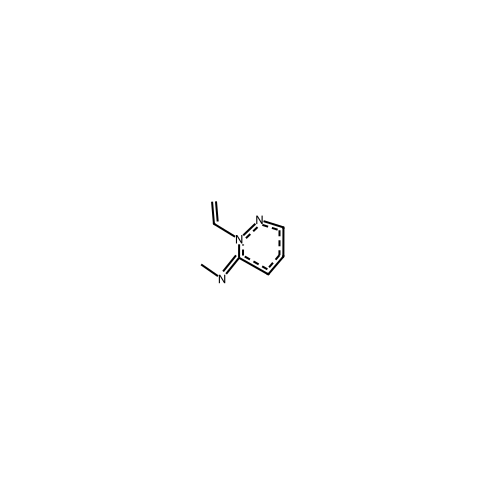 C=Cn1nccc/c1=N/C